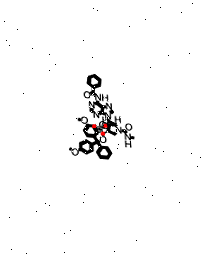 CNC(=O)N1C[C@]2(COC(c3ccccc3)(c3ccc(OC)cc3)c3ccc(OC)cc3)O[C@@H](n3cnc4c(NC(=O)c5ccccc5)ncnc43)[C@H]1[C@@H]2O[Si](C)(C)C